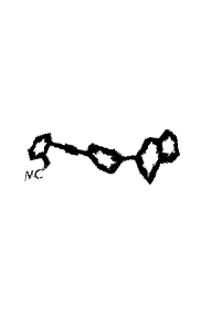 N#CCc1ccccc1C#Cc1ccc(-c2ccc3ccccc3c2)cc1